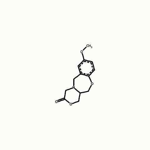 COc1ccc2c(c1)CN1CC(=O)OCC1CO2